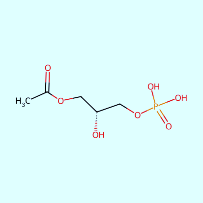 CC(=O)OC[C@@H](O)COP(=O)(O)O